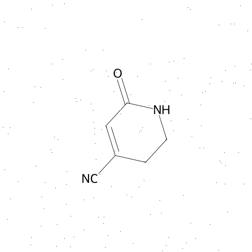 N#CC1=CC(=O)NCC1